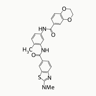 CNc1nc2ccc(C(=O)Nc3cc(NC(=O)c4ccc5c(c4)OCCO5)ccc3C)cc2s1